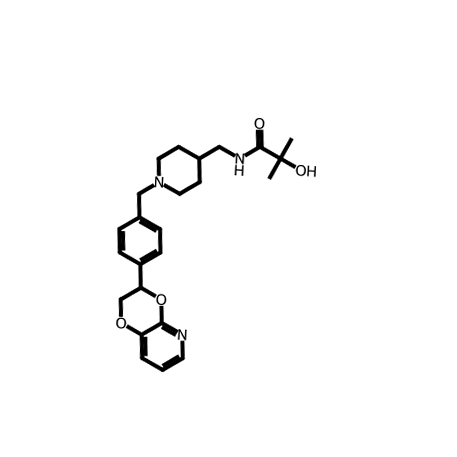 CC(C)(O)C(=O)NCC1CCN(Cc2ccc(C3COc4cccnc4O3)cc2)CC1